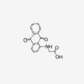 O=C(O)CNc1cccc2c1C(=O)c1ccccc1C2=O